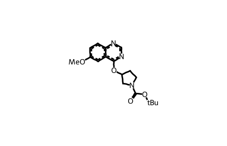 COc1ccc2ncnc(OC3CCN(C(=O)OC(C)(C)C)C3)c2c1